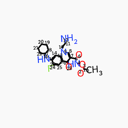 CC(=O)ONC(=O)c1cn(CCN)c2cc(NC3CCCCC3)c(F)cc2c1=O